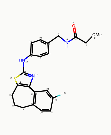 COCC(=O)NCc1ccc(Nc2nc3c(s2)CCCc2ccc(F)cc2-3)cc1